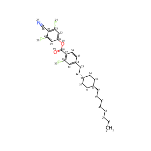 CCCCCCCC[C@H]1CC[C@H](CCc2ccc(C(=O)Oc3cc(F)c(C#N)c(F)c3)c(F)c2)CC1